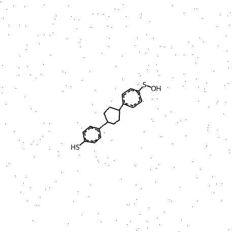 OSc1ccc(C2CCC(c3ccc(S)cc3)CC2)cc1